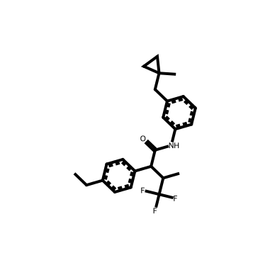 CCc1ccc(C(C(=O)Nc2cccc(CC3(C)CC3)c2)C(C)C(F)(F)F)cc1